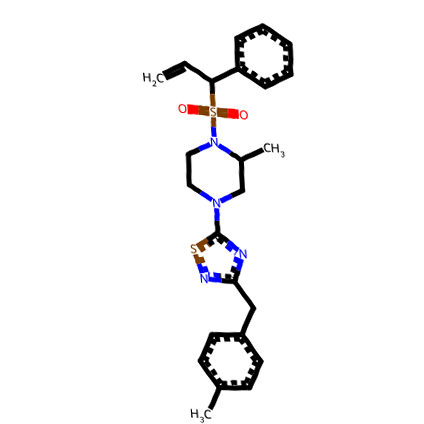 C=CC(c1ccccc1)S(=O)(=O)N1CCN(c2nc(Cc3ccc(C)cc3)ns2)CC1C